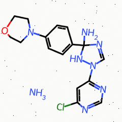 N.NC1(c2ccc(N3CCOCC3)cc2)N=CN(c2cc(Cl)ncn2)N1